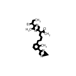 C=C(Cl)/C(=C\C=C/Cc1cccc(-c2cnc3c(n2)C3)c1C)c1cnc(/C(=C\C)CC)c(C)n1